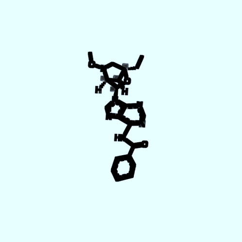 CC[C@]12CN(OC)[C@H]([C@H](n3cnc4c(NC(=O)c5ccccc5)ncnc43)O1)[C@H]2C